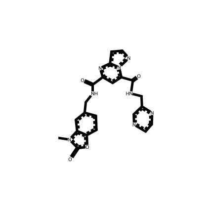 Cn1c(=O)oc2ccc(CNC(=O)c3cc(C(=O)NCc4cnccn4)n4nccc4n3)cc21